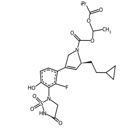 CC(OC(=O)C(C)C)OC(=O)N1CC(c2ccc(O)c(N3CC(=O)NS3(=O)=O)c2F)=C[C@@H]1CCC1CC1